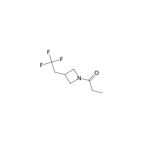 CCC(=O)N1CC(CC(F)(F)F)C1